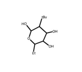 CCC1OC(O)C(C(C)(C)C)C(O)C1O